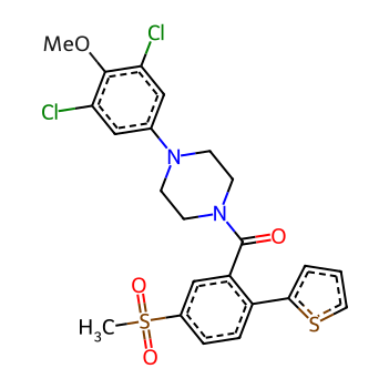 COc1c(Cl)cc(N2CCN(C(=O)c3cc(S(C)(=O)=O)ccc3-c3cccs3)CC2)cc1Cl